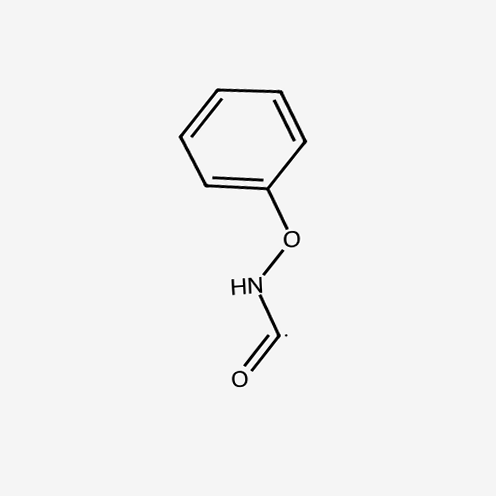 O=[C]NOc1ccccc1